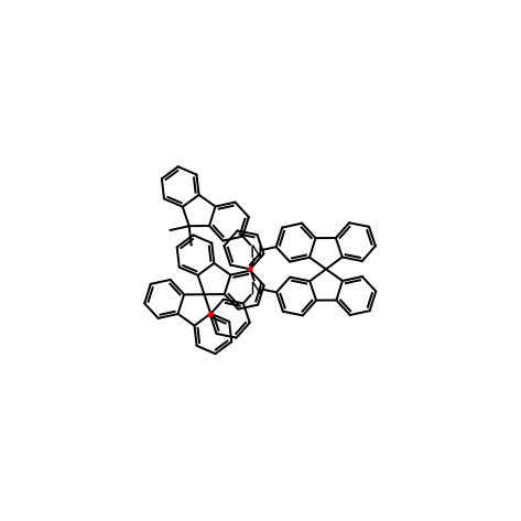 CC1(C)c2ccccc2-c2ccc(N(c3ccc4c(c3)C3(c5ccccc5-c5ccc(N(c6ccccc6)c6ccccc6)cc53)c3ccccc3-4)c3cccc4c3-c3ccccc3C43c4ccccc4-c4ccccc43)cc21